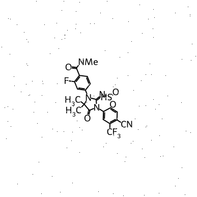 CNC(=O)c1ccc(N2C(=N[SH](=O)=O)N(c3ccc(C#N)c(C(F)(F)F)c3)C(=O)C2(C)C)cc1F